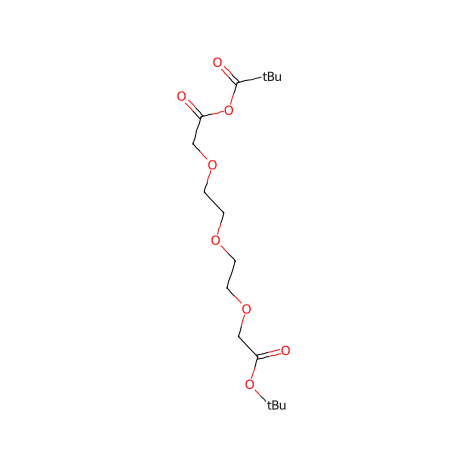 CC(C)(C)OC(=O)COCCOCCOCC(=O)OC(=O)C(C)(C)C